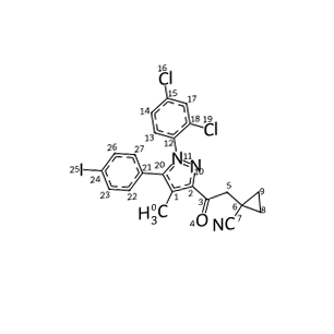 Cc1c(C(=O)CC2(C#N)CC2)nn(-c2ccc(Cl)cc2Cl)c1-c1ccc(I)cc1